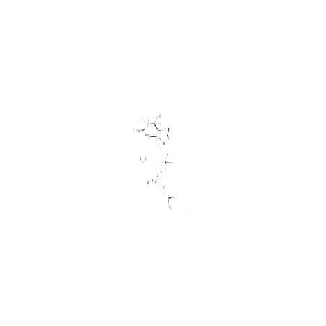 CCCCCCCCCCOC(=O)CO[PH](=O)OC[C@](C)(CCn1cnc2c(N)nc(F)nc21)OC